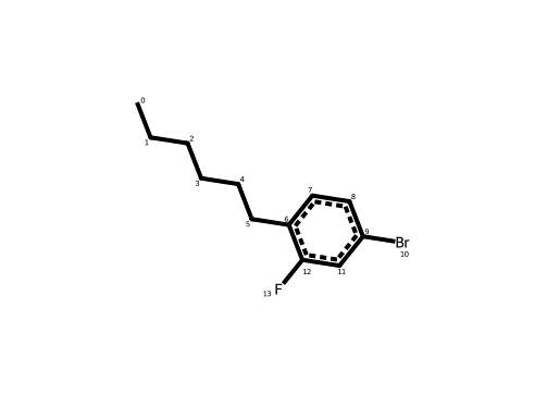 CCCCCCc1ccc(Br)cc1F